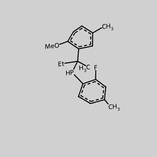 CCC(C)(Pc1ccc(C)cc1F)c1cc(C)ccc1OC